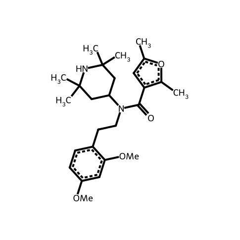 COc1ccc(CCN(C(=O)c2cc(C)oc2C)C2CC(C)(C)NC(C)(C)C2)c(OC)c1